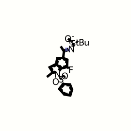 C/C(=N\[S@@+]([O-])C(C)(C)C)c1cc(F)c2c(c1)cc(C)n2S(=O)(=O)c1ccccc1